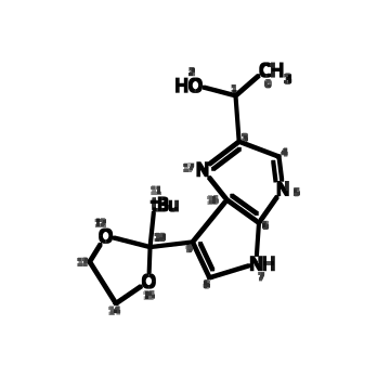 CC(O)c1cnc2[nH]cc(C3(C(C)(C)C)OCCO3)c2n1